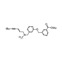 COC(=O)c1cccc(COc2cccc(CN(C)C/C=C/C#CC(C)(C)C)c2)c1